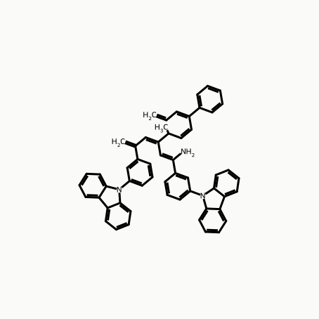 C=C/C=C(\C=C/C(C)C(/C=C(\N)c1cccc(-n2c3ccccc3c3ccccc32)c1)=C/C(=C)c1cccc(-n2c3ccccc3c3ccccc32)c1)c1ccccc1